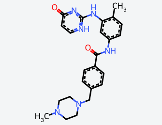 Cc1ccc(NC(=O)c2ccc(CN3CCN(C)CC3)cc2)cc1Nc1nc(=O)cc[nH]1